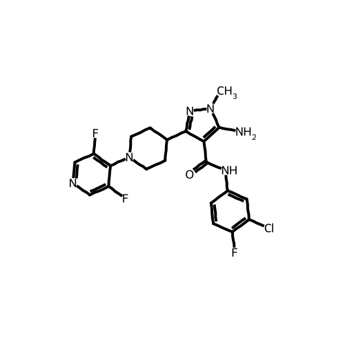 Cn1nc(C2CCN(c3c(F)cncc3F)CC2)c(C(=O)Nc2ccc(F)c(Cl)c2)c1N